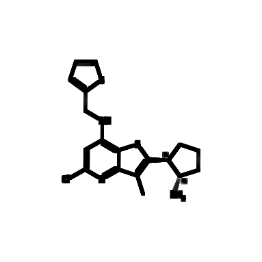 Cc1c([C@H]2CCC[C@@H]2N)sc2c(NCc3cccs3)cc(Cl)nc12